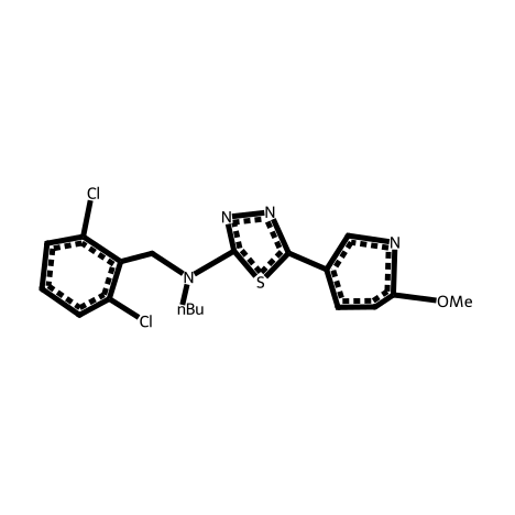 CCCCN(Cc1c(Cl)cccc1Cl)c1nnc(-c2ccc(OC)nc2)s1